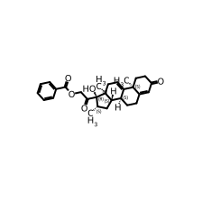 C[C@H]1C[C@H]2[C@@H]3CCC4=CC(=O)CC[C@]4(C)C3=CC[C@]2(C)[C@@]1(O)C(=O)COC(=O)c1ccccc1